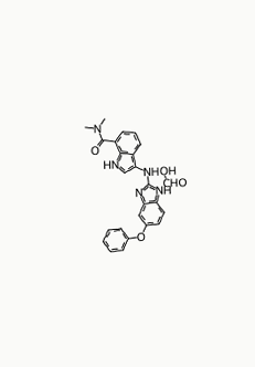 CN(C)C(=O)c1cccc2c(Nc3nc4cc(Oc5ccccc5)ccc4[nH]3)c[nH]c12.O=CO